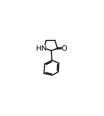 O=C1CCNC1c1ccccc1